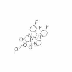 COCCOc1c2n(ncc1=O)[C@@H]([C@H](c1cccc(F)c1)c1cccc(F)c1F)[C@H]1CCCN1C2=O